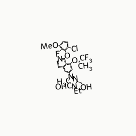 CCN(C=O)/C(CO)=N\N(C)c1cc(OC(C)C(F)(F)F)c2c(Oc3c(Cl)ccc(OC)c3F)nccc2c1